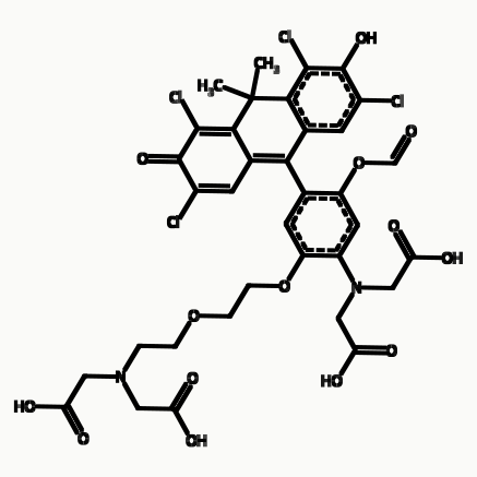 CC1(C)C2=C(Cl)C(=O)C(Cl)=CC2=C(c2cc(OCCOCCN(CC(=O)O)CC(=O)O)c(N(CC(=O)O)CC(=O)O)cc2OC=O)c2cc(Cl)c(O)c(Cl)c21